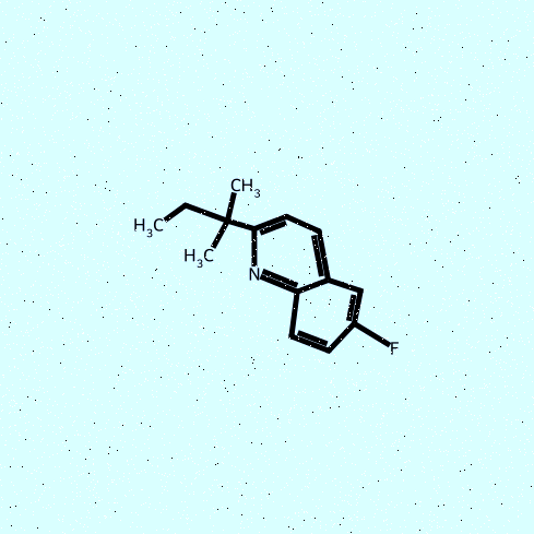 CCC(C)(C)c1ccc2cc(F)ccc2n1